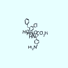 NCc1ccc(C(CC(=O)O)NC(=O)Nc2cc(Cl)cc(Cc3ccccc3)c2O)cc1